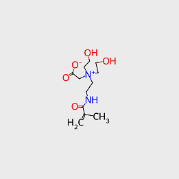 C=C(C)C(=O)NCC[N+](CCO)(CCO)CC(=O)[O-]